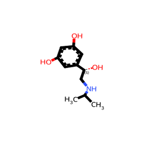 CC(C)NC[C@@H](O)c1cc(O)cc(O)c1